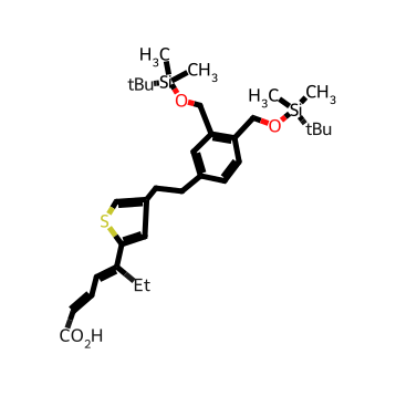 CC/C(=C\C=C\C(=O)O)c1cc(CCc2ccc(CO[Si](C)(C)C(C)(C)C)c(CO[Si](C)(C)C(C)(C)C)c2)cs1